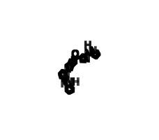 O=C(c1ccnc(Nc2ccccn2)c1)N1CC2CN(c3cccc(-c4nc5ccccc5[nH]4)n3)CC2C1